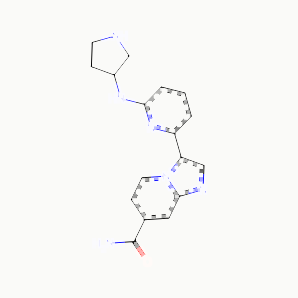 NC(=O)c1ccn2c(-c3cccc(NC4CCNC4)n3)cnc2c1